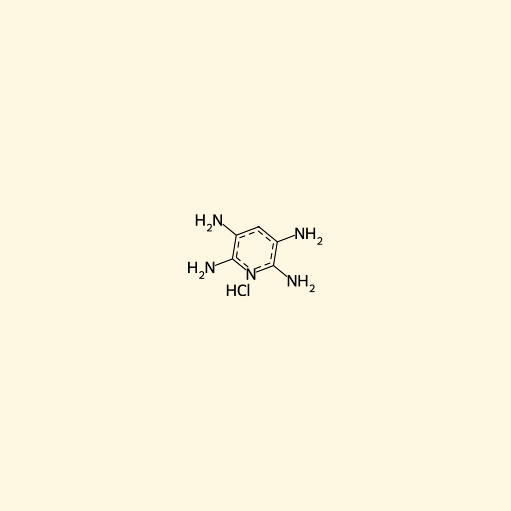 Cl.Nc1cc(N)c(N)nc1N